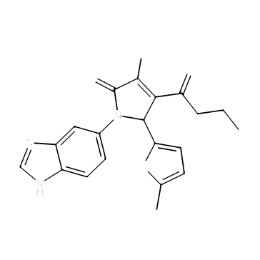 CCCC(=O)C1=C(O)C(=O)N(c2ccc3[nH]cnc3c2)C1c1ccc(C)o1